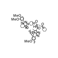 COc1cc(OCC2CC2)c(-c2ncnc3c(C(=O)N[C@@H](CCC(=O)N4CCCCC4)C(=O)N4CCC(N5N=C(c6ccc(OC)c(OC)c6)[C@H]6CCCC[C@H]6C5=O)CC4)c(C)[nH]c23)cc1F